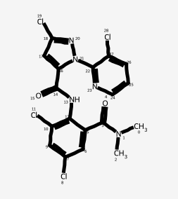 CN(C)C(=O)c1cc(Cl)cc(Cl)c1NC(=O)c1cc(Cl)nn1-c1ncccc1Cl